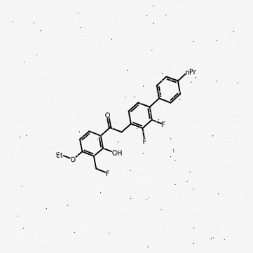 CCCc1ccc(-c2ccc(CC(=O)c3ccc(OCC)c(CF)c3O)c(F)c2F)cc1